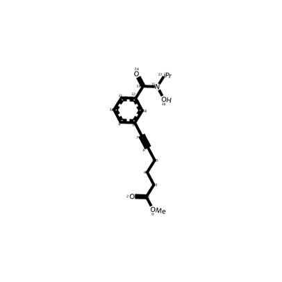 COC(=O)CCCC#Cc1cccc(C(=O)N(O)C(C)C)c1